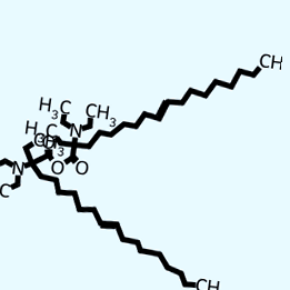 CCCCCCCCC=CCCCCCCC(CC)(C(=O)OC(=O)C(CC)(CCCCCCC=CCCCCCCCC)N(CC)CC)N(CC)CC